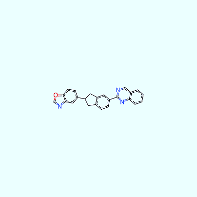 c1ccc2nc(-c3ccc4c(c3)CC(c3ccc5ocnc5c3)C4)ncc2c1